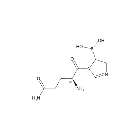 NC(=O)CC[C@H](N)C(=O)N1C=NCC1B(O)O